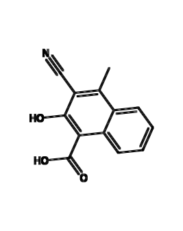 Cc1c(C#N)c(O)c(C(=O)O)c2ccccc12